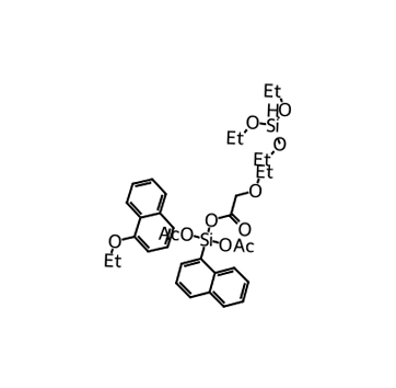 CCOCC(=O)O[Si](OC(C)=O)(OC(C)=O)c1cccc2ccccc12.CCO[SiH](OCC)OCC.CCOc1cccc2ccccc12